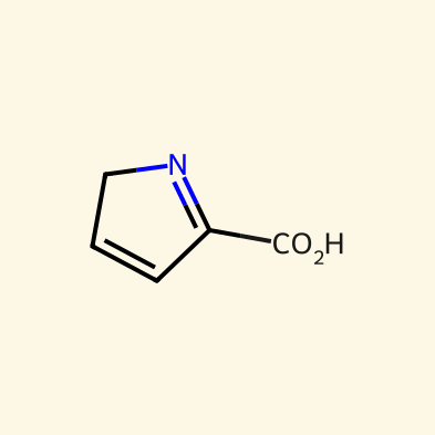 O=C(O)C1=NCC=C1